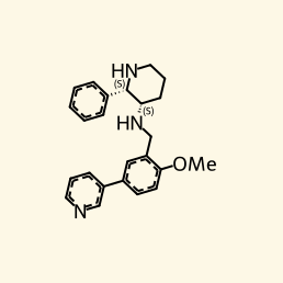 COc1ccc(-c2cccnc2)cc1CN[C@H]1CCCN[C@H]1c1ccccc1